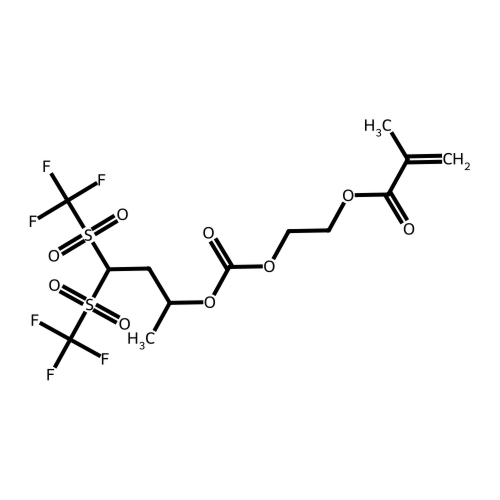 C=C(C)C(=O)OCCOC(=O)OC(C)CC(S(=O)(=O)C(F)(F)F)S(=O)(=O)C(F)(F)F